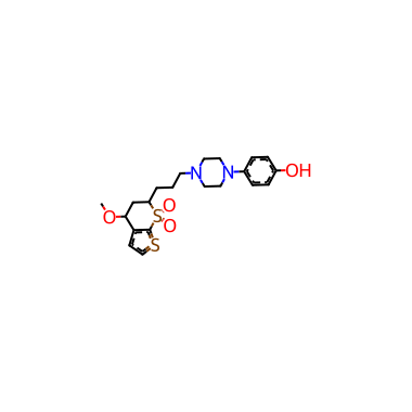 COC1CC(CCCN2CCN(c3ccc(O)cc3)CC2)S(=O)(=O)c2sccc21